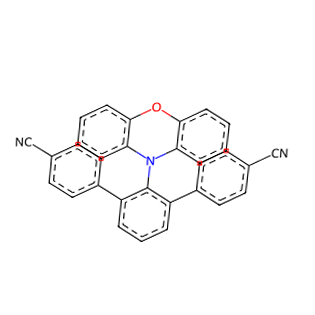 N#Cc1ccc(-c2cccc(-c3ccc(C#N)cc3)c2N2c3ccccc3Oc3ccccc32)cc1